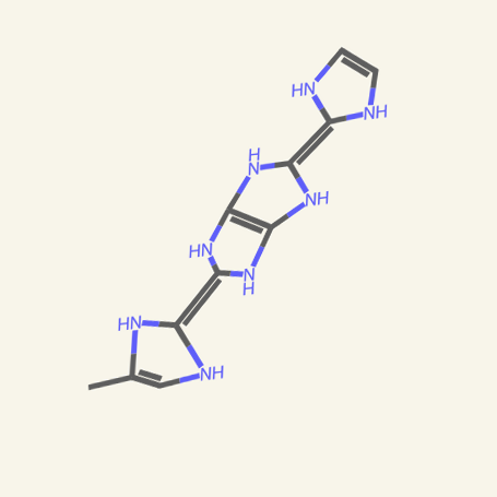 CC1=CNC(=C2NC3=C(NC(=C4NC=CN4)N3)N2)N1